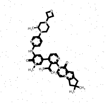 BC(=C)c1c(-c2cc(Nc3ccc(N4CCN(C5COC5)C[C@@H]4C)cn3)c(=O)n(C)c2)ccnc1-n1ccn2c3c(cc2c1=O)CC(C)(C)C3